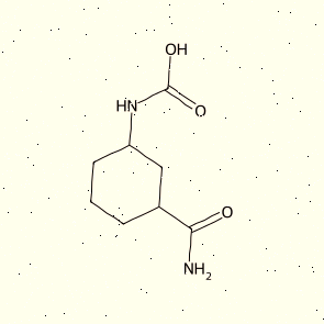 NC(=O)C1CCCC(NC(=O)O)C1